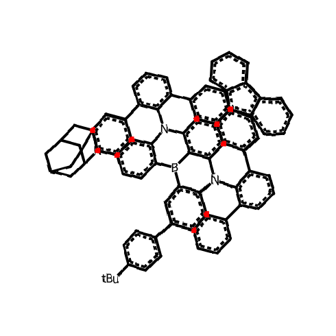 CC(C)(C)c1ccc(-c2ccc3c(c2)B2c4ccc(N5C6CC7CC(C6)CC5C7)cc4N(c4c(-c5ccccc5)cccc4-c4ccccc4)c4cc(-n5c6ccccc6c6ccccc65)cc(c42)N3c2c(-c3ccccc3)cccc2-c2ccccc2)cc1